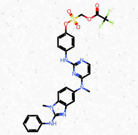 CN(c1ccc2c(c1)nc(Nc1ccccc1)n2C)c1ccnc(Nc2ccc(OS(=O)(=O)COC(=O)C(F)(F)F)cc2)n1